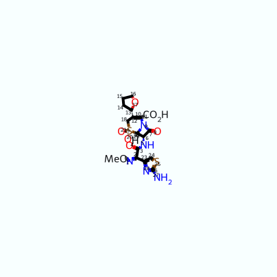 CO/N=C(\C(=O)N[C@@H]1C(=O)N2C(C(=O)O)=C([C@@H]3CCCO3)CS(=O)(=O)[C@H]12)c1csc(N)n1